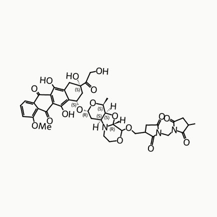 COc1cccc2c1C(=O)c1c(O)c3c(c(O)c1C2=O)C[C@@](O)(C(=O)CO)C[C@@H]3O[C@H]1C[C@H]2[C@H](O[C@@H]3C(OCC4CC(=O)N(CN5C(=O)CC(C)C5=O)C4=O)OCCN32)[C@H](C)O1